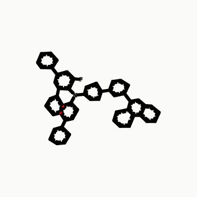 Fc1cc(-c2ccccc2)cc(-c2ccccc2)c1N(c1ccc(-c2ccccc2)cc1)c1ccc(-c2cccc(-c3cc4ccccc4c4ccccc34)c2)cc1